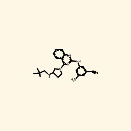 CC(C)(C)CNC1CCN(c2nc(Nc3cc(N)cc(C#N)c3)nc3ccccc23)C1